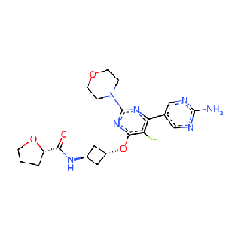 Nc1ncc(-c2nc(N3CCOCC3)nc(O[C@H]3C[C@H](NC(=O)[C@@H]4CCCO4)C3)c2F)cn1